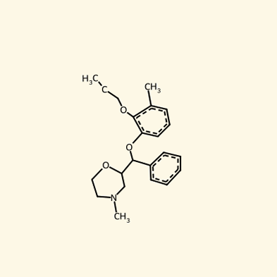 CCCOc1c(C)cccc1OC(c1ccccc1)C1CN(C)CCO1